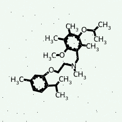 COc1c(C)c(C)c(OC(C)C)c(C)c1CN(C)CCOc1cc(C)ccc1C(C)C